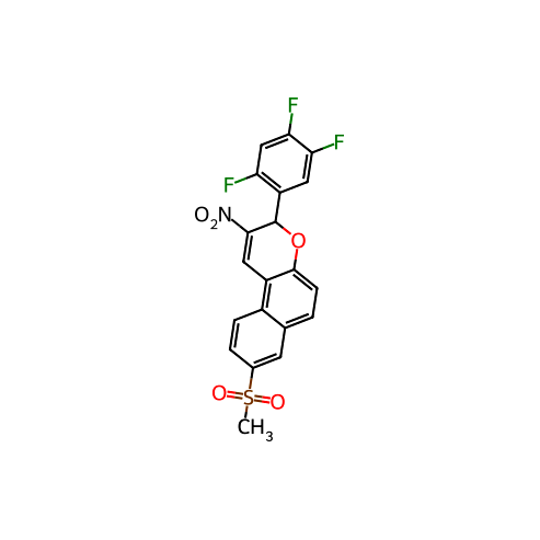 CS(=O)(=O)c1ccc2c3c(ccc2c1)OC(c1cc(F)c(F)cc1F)C([N+](=O)[O-])=C3